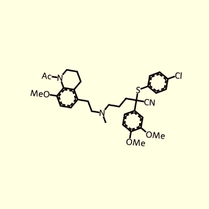 COc1ccc(C(C#N)(CCCN(C)CCc2ccc(OC)c3c2CCCN3C(C)=O)Sc2ccc(Cl)cc2)cc1OC